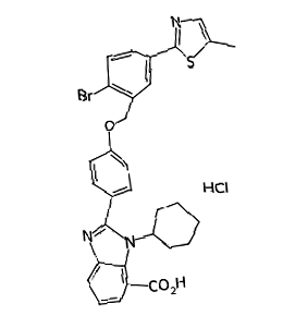 Cc1cnc(-c2ccc(Br)c(COc3ccc(-c4nc5cccc(C(=O)O)c5n4C4CCCCC4)cc3)c2)s1.Cl